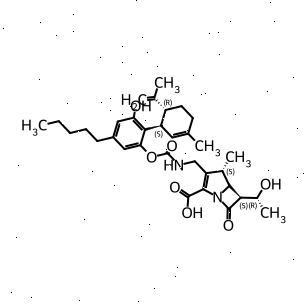 C=C(C)[C@@H]1CCC(C)=C[C@H]1c1c(O)cc(CCCCC)cc1OC(=O)NCC1=C(C(=O)O)N2C(=O)[C@H]([C@@H](C)O)C2[C@H]1C